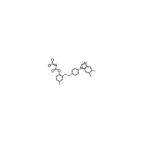 Cc1ccc(OC(=O)N=S(=O)=O)c(CCc2ccc(-n3cnc4cc(C)c(C)cc43)cc2)c1